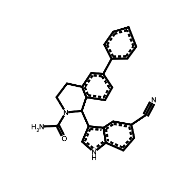 N#Cc1ccc2[nH]cc(C3c4ccc(-c5ccccc5)cc4CCN3C(N)=O)c2c1